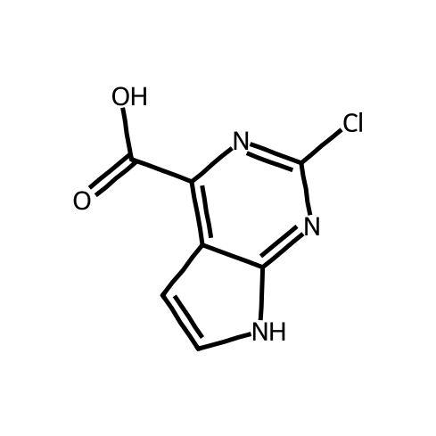 O=C(O)c1nc(Cl)nc2[nH]ccc12